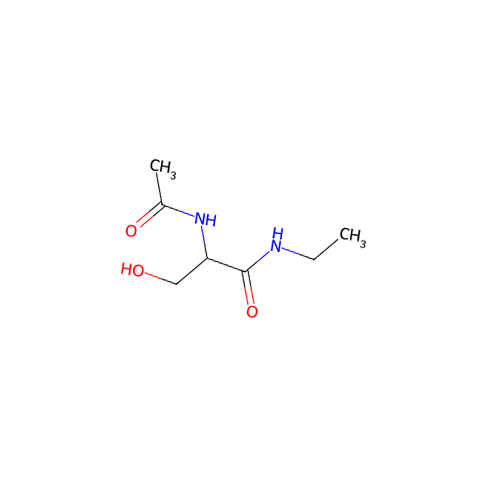 CCNC(=O)C(CO)NC(C)=O